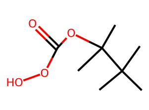 CC(C)(C)C(C)(C)OC(=O)OO